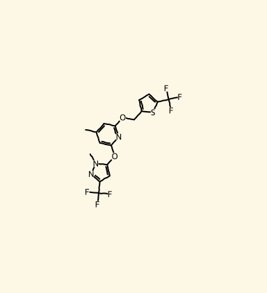 Cc1cc(OCc2ccc(C(F)(F)F)s2)nc(Oc2cc(C(F)(F)F)nn2C)c1